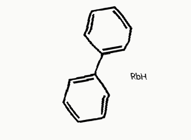 [RbH].c1ccc(-c2ccccc2)cc1